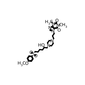 COc1ccc(S(=O)(=O)CCCCC(O)CN2CCN(CCCn3cnc4c3c(=O)n(C)c(=O)n4C)CC2)cc1